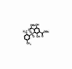 Cc1ccc(C)c(S(=O)(=O)c2c(O)c(C(=O)OCC(C)C)cc(O)c2C(=O)OCC(C)C)c1